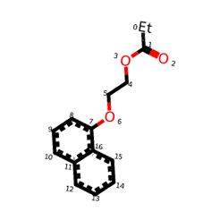 [CH2]CC(=O)OCCOc1cccc2ccccc12